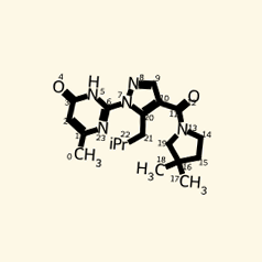 Cc1cc(=O)[nH]c(-n2ncc(C(=O)N3CCC(C)(C)C3)c2CC(C)C)n1